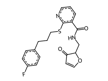 O=C(NCC1OC=CC1=O)c1cccnc1SCCCc1ccc(F)cc1